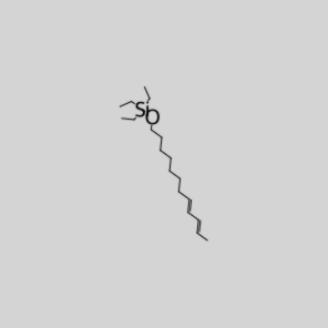 CC=C/C=C/CCCCCCCO[Si](CC)(CC)CC